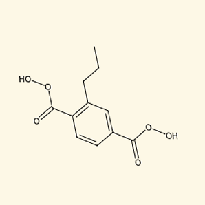 CCCc1cc(C(=O)OO)ccc1C(=O)OO